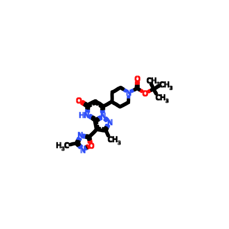 Cc1noc(-c2c(C)nn3c(C4CCN(C(=O)OC(C)(C)C)CC4)cc(=O)[nH]c23)n1